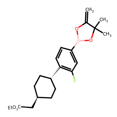 C=C1OB(c2ccc([C@H]3CC[C@H](CC(=O)OCC)CC3)c(F)c2)OC1(C)C